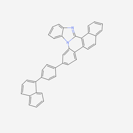 c1ccc2c(-c3ccc(-c4ccc5c6ccc7ccccc7c6c6nc7ccccc7n6c5c4)cc3)cccc2c1